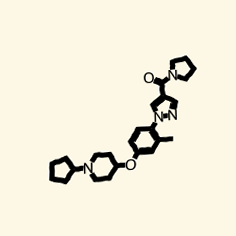 Cc1cc(OC2CCN(C3CCCC3)CC2)ccc1-n1cc(C(=O)N2CCCC2)cn1